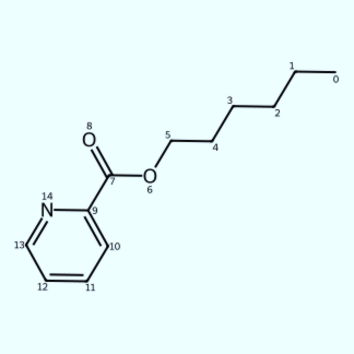 CCCCCCOC(=O)c1ccccn1